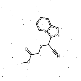 COC(=O)CSC(C#N)c1ncc2ccccn12